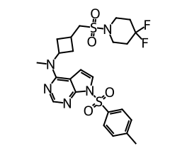 Cc1ccc(S(=O)(=O)n2ccc3c(N(C)C4CC(CS(=O)(=O)N5CCC(F)(F)CC5)C4)ncnc32)cc1